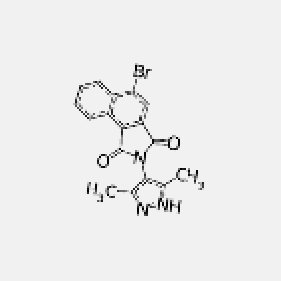 Cc1n[nH]c(C)c1N1C(=O)c2cc(Br)c3ccccc3c2C1=O